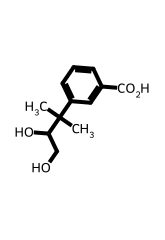 CC(C)(c1cccc(C(=O)O)c1)C(O)CO